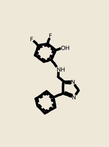 Oc1c(NCC2=NCN=C2c2ccccc2)ccc(F)c1F